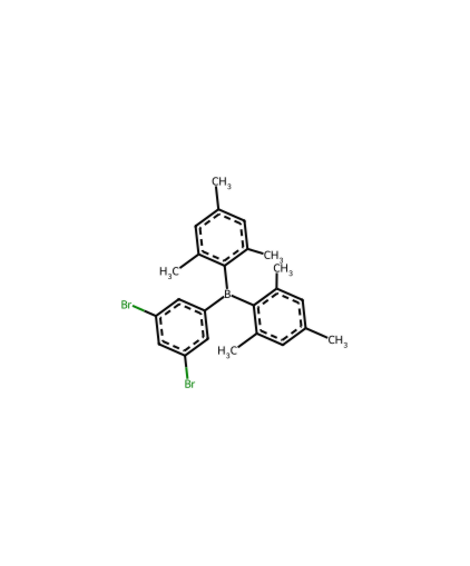 Cc1cc(C)c(B(c2cc(Br)cc(Br)c2)c2c(C)cc(C)cc2C)c(C)c1